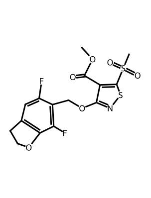 COC(=O)c1c(OCc2c(F)cc3c(c2F)OCC3)nsc1S(C)(=O)=O